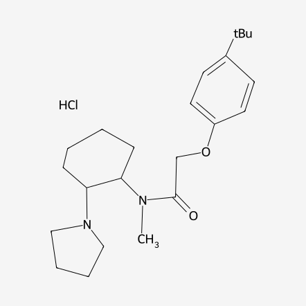 CN(C(=O)COc1ccc(C(C)(C)C)cc1)C1CCCCC1N1CCCC1.Cl